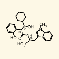 Cn1cc(C[C@H](NC(=O)[C@H](c2ccccc2O)[C@H](O)C2CCCCC2)C(=O)O)c2ccccc21